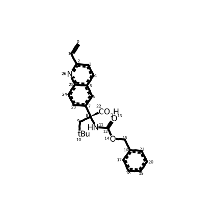 C=Cc1ccc2cc([C@@](CC(C)(C)C)(NC(=O)OCc3ccccc3)C(=O)O)ccc2n1